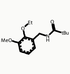 CCOc1c(CNC(=O)C(C)(C)C)cccc1OC